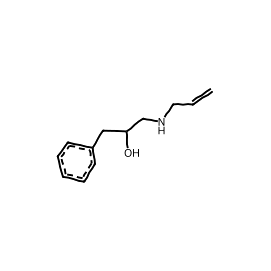 C=CCNCC(O)Cc1ccccc1